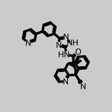 CC1(C(=O)Nc2nc(-c3cccc(-c4cccnc4)c3)n[nH]2)CC2(C#N)c3ccccc3C1c1cccnc12